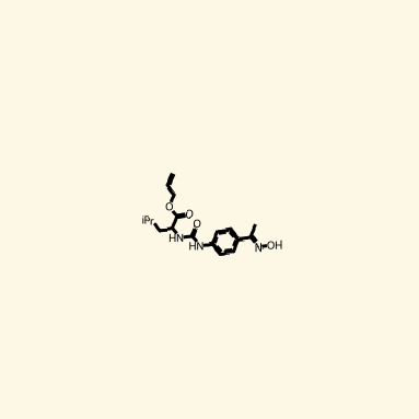 C=CCOC(=O)C(CC(C)C)NC(=O)Nc1ccc(/C(C)=N/O)cc1